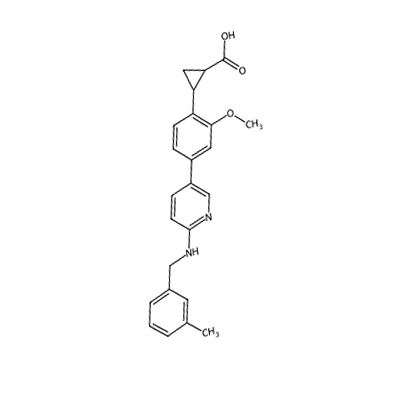 COc1cc(-c2ccc(NCc3cccc(C)c3)nc2)ccc1C1CC1C(=O)O